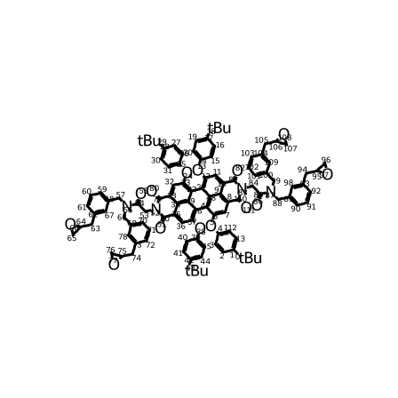 CC(C)(C)c1ccc(Oc2cc3c4c(cc(Oc5ccc(C(C)(C)C)cc5)c5c6c(Oc7ccc(C(C)(C)C)cc7)cc7c8c(cc(Oc9ccc(C(C)(C)C)cc9)c(c2c45)c86)C(=O)N(CC(=O)N(Cc2cccc(CC4CO4)c2)Cc2cccc(CC4CO4)c2)C7=O)C(=O)N(CC(=O)N(Cc2cccc(CC4CO4)c2)Cc2cccc(CC4CO4)c2)C3=O)cc1